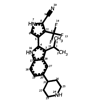 CC(C)c1c(-c2c[nH]c(C#N)c2C(F)(F)F)[nH]c2ccc(C3CCNCC3)cc12